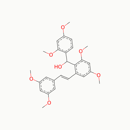 COc1cc(/C=C/c2cc(OC)cc(OC)c2C(O)c2ccc(OC)cc2OC)cc(OC)c1